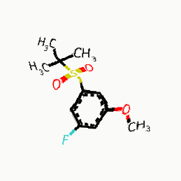 COc1cc(F)cc(S(=O)(=O)C(C)(C)C)c1